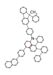 CC1(c2ccccc2)c2ccccc2-c2ccc(-c3ccc(N(c4ccc(-c5ccc(-c6ccc7ccccc7c6)cc5)cc4)c4ccccc4-c4ccccc4-c4ccccc4-c4ccccc4)cc3)cc21